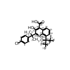 CC(C)(c1ccc(Cl)cc1)c1nc2c(C(O)(C(F)(F)F)C(F)(F)F)cccc2c(C(=O)O)c1O